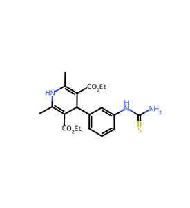 CCOC(=O)C1=C(C)NC(C)=C(C(=O)OCC)C1c1cccc(NC(N)=S)c1